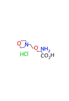 Cl.NC(COCCN1CCOCC1)C(=O)O